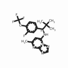 Cc1cc(N[C@@H](c2ccc(OC(F)(F)F)c(F)c2)C(C)(C)C)n2ncnc2n1